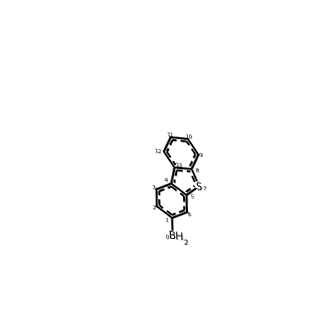 Bc1ccc2c(c1)sc1ccccc12